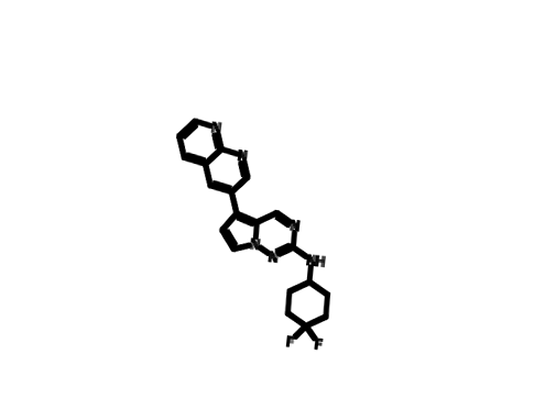 FC1(F)CCC(Nc2ncc3c(-c4cnc5ncccc5c4)ccn3n2)CC1